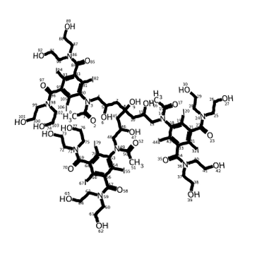 CC(=O)N(CC(O)CC(O)(CC(O)CN(C(C)=O)c1c(I)c(C(=O)N(CCO)CCO)c(I)c(C(=O)N(CCO)CCO)c1I)CC(O)CN(C(C)=O)c1c(I)c(C(=O)N(CCO)CCO)c(I)c(C(=O)N(CCO)CCO)c1I)c1c(I)c(C(=O)N(CCO)CCO)c(I)c(C(=O)N(CCO)CCO)c1I